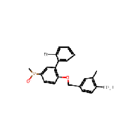 CCc1ccccc1-c1cc([S+](C)[O-])ccc1OCc1ccc(C(=O)O)c(C)c1